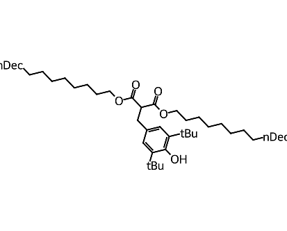 CCCCCCCCCCCCCCCCCCOC(=O)C(Cc1cc(C(C)(C)C)c(O)c(C(C)(C)C)c1)C(=O)OCCCCCCCCCCCCCCCCCC